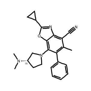 Cc1c(-c2ccccc2)c(N2CC[C@H](N(C)C)C2)c2oc(C3CC3)nc2c1C#N